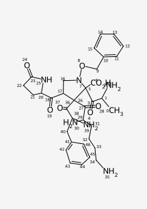 CC(N)C(=O)C1(C(=O)O)N(OCc2ccccc2)CC(C(=O)C2CCC(=O)N2)C1(C(=O)C(N)CCCCN)C(=O)C(N)Cc1ccccc1